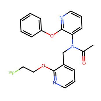 CC(=O)N(Cc1cccnc1OCC[18F])c1cccnc1Oc1ccccc1